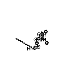 CCCCCCCCCCCCCCCN[C@@H]1CCN(C(=O)c2ccc(C(=O)N3C[C@@H](C(=O)N[C@H]4C[C@@H]4c4ccccc4)[C@H](C(=O)N[C@H]4C[C@@H]4c4ccccc4)C3)cc2)C1